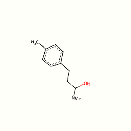 CNC(O)CCc1ccc(C)cc1